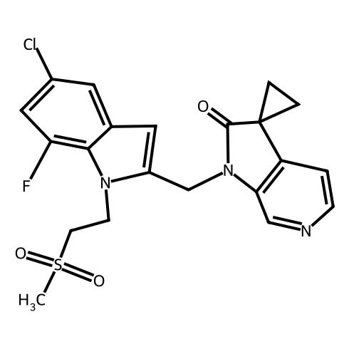 CS(=O)(=O)CCn1c(CN2C(=O)C3(CC3)c3ccncc32)cc2cc(Cl)cc(F)c21